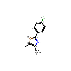 CC(=O)Oc1nc(-c2ccc(Cl)cc2)sc1C